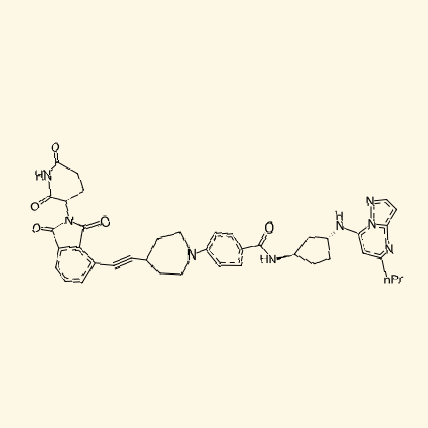 CCCc1cc(N[C@@H]2CC[C@@H](NC(=O)c3ccc(N4CCC(C#Cc5cccc6c5C(=O)N(C5CCC(=O)NC5=O)C6=O)CC4)cc3)C2)n2nccc2n1